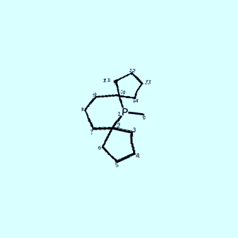 CP1C2(CCCC2)CCCC12CCCC2